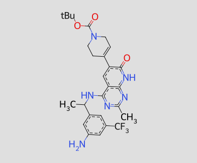 Cc1nc(NC(C)c2cc(N)cc(C(F)(F)F)c2)c2cc(C3=CCN(C(=O)OC(C)(C)C)CC3)c(=O)[nH]c2n1